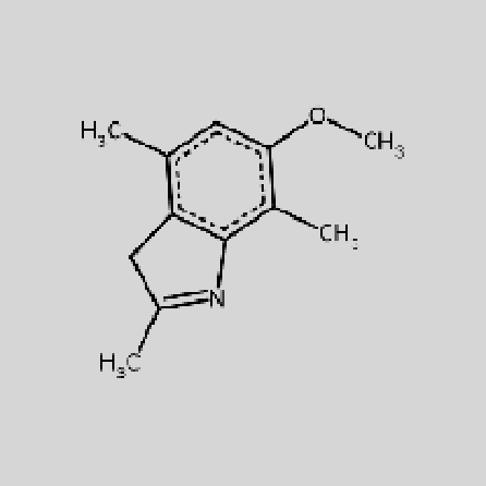 COc1cc(C)c2c(c1C)N=C(C)C2